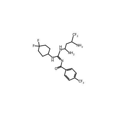 NC(CC(N)C(F)(F)F)N/C(=N/C(=O)c1ccc(C(F)(F)F)cc1)NC1CCC(F)(F)CC1